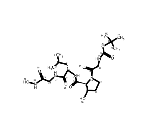 CC(C)C[C@H](NC(=O)[C@@H]1C(O)CCN1C(=O)CNC(=O)OC(C)(C)C)C(=O)NCC(=O)NO